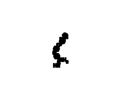 N=C/C=C(\N)c1ccc(Oc2ccc(OCc3ccc(-n4cccn4)nc3)cc2)cc1